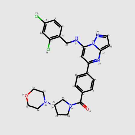 O=C(c1ccc(-c2cc(NCc3ccc(Cl)cc3Cl)n3nccc3n2)cc1)N1CC[C@H](N2CCOCC2)C1